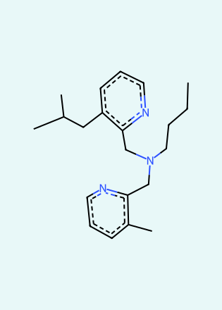 CCCCN(Cc1ncccc1C)Cc1ncccc1CC(C)C